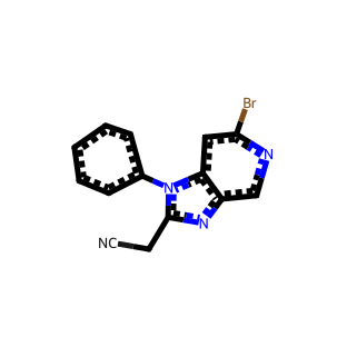 N#CCc1nc2cnc(Br)cc2n1-c1ccccc1